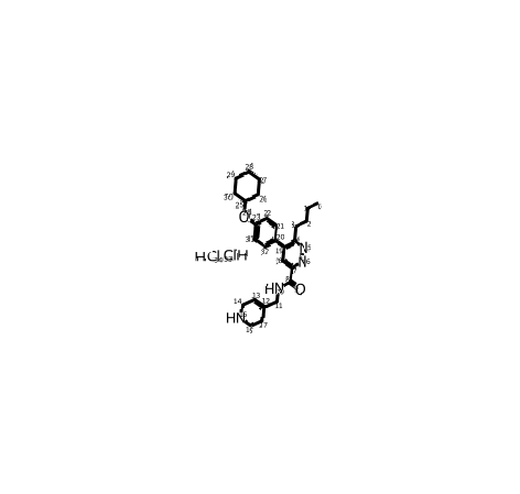 CCCCc1nnc(C(=O)NCC2=CCNCC2)cc1-c1ccc(OC2CCCCC2)cc1.Cl.Cl